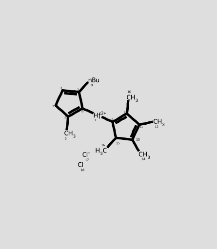 CCCCC1=CCC(C)=[C]1[Hf+2][C]1=C(C)C(C)=C(C)C1C.[Cl-].[Cl-]